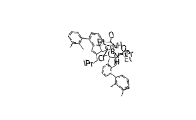 CCC(=O)N[B](NC(=O)CC)[Zr]([Cl])([Cl])([CH]1C(CC(C)C)=Cc2c(-c3cccc(C)c3C)cccc21)[CH]1C(CC(C)C)=Cc2c(-c3cccc(C)c3C)cccc21